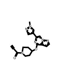 C#CC(=O)N1CCC(Oc2nc(-c3cnn(C)c3)cn3nccc23)CC1